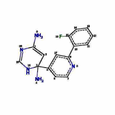 NC1=CC(N)(c2ccnc(-c3ccccc3F)c2)NC=N1